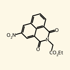 CCOC(=O)CN1C(=O)c2cccc3cc([N+](=O)[O-])cc(c23)C1=O